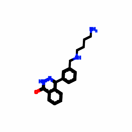 NCCCCNCc1cccc(-c2n[nH]c(=O)c3ccccc23)c1